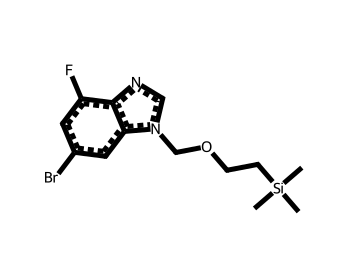 C[Si](C)(C)CCOCn1cnc2c(F)cc(Br)cc21